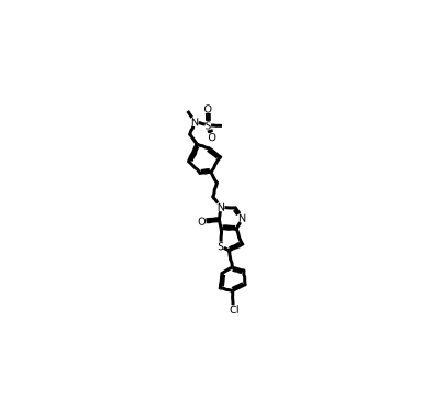 CN(Cc1ccc(CCn2cnc3cc(-c4ccc(Cl)cc4)sc3c2=O)cc1)S(C)(=O)=O